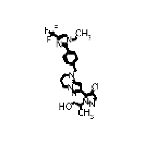 CCn1cc(C(F)(F)F)nc1-c1ccc(CN2CCCn3nc(-c4c(Cl)cnn4C(C)CO)cc32)cc1